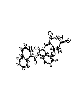 Cc1c(C=C2C(=O)NC(=S)NC2=O)c2ccccc2n1C(=O)c1cccc2ccccc12